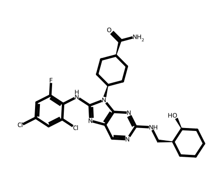 NC(=O)[C@H]1CC[C@@H](n2c(Nc3c(F)cc(Cl)cc3Cl)nc3cnc(NC[C@@H]4CCCC[C@@H]4O)nc32)CC1